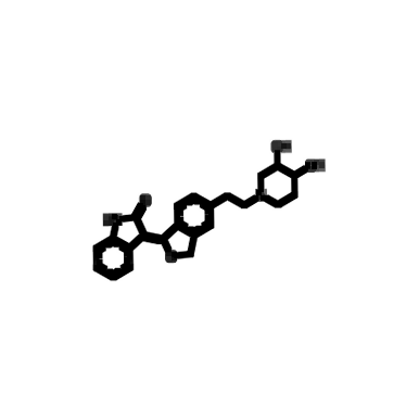 O=C1Nc2ccccc2/C1=C1\OCc2cc(CCN3CCC(O)C(O)C3)ccc21